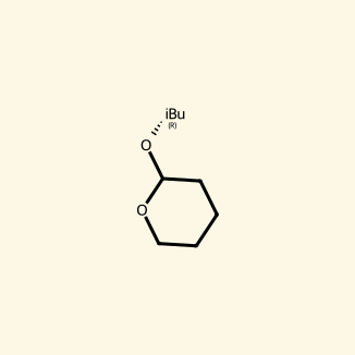 CC[C@@H](C)OC1CCCCO1